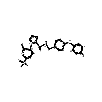 Cc1nc(S(C)(=O)=O)ccc1-n1cccc1C(=O)NCc1ccc(Oc2ccc(F)cc2)cc1